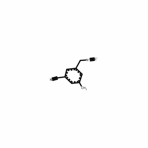 [C-]#[N+]Cc1cc(C)cc(C#N)c1